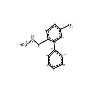 O=C(O)NCc1ccc(C(F)(F)F)cc1-c1ccccn1